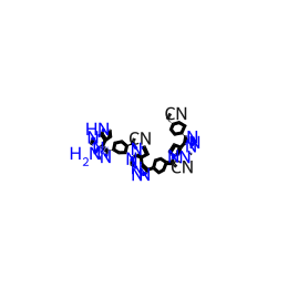 C=N/C(=C1/c2cc[nH]c2N=CN1N)[C@H]1CC[C@H](C(C#N)n2ccc3c2ncn2nnc(C4CCC(=C(C#N)n5ccc6c5ncn5nnc([C@H]7CC[C@@H](CC#N)CC7)c65)CC4)c32)CC1